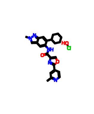 Cc1cc(-c2nc(C(=O)Nc3cc4cn(C)nc4cc3C3CCCCC3)co2)ccn1.OCl